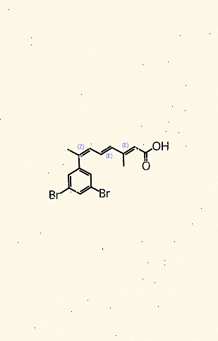 C/C(=C/C=C/C(C)=C/C(=O)O)c1cc(Br)cc(Br)c1